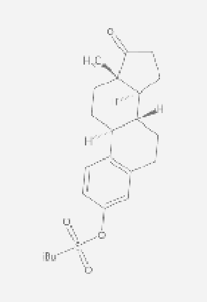 CCC(C)S(=O)(=O)Oc1ccc2c(c1)CC[C@@H]1[C@@H]2CC[C@]2(C)C(=O)CC[C@@H]12